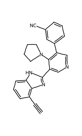 C#Cc1cccc2[nH]c(-c3cncc(-c4cccc(C#N)c4)c3N3CCCC3)nc12